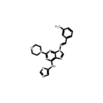 Cc1cccc(/C=N/n2cnc3c(Nc4cnco4)nc(N4CCOCC4)nc32)c1